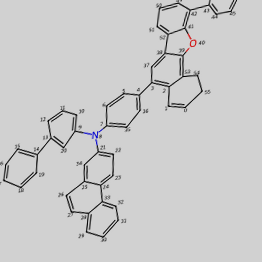 C1=Cc2c(-c3ccc(N(c4cccc(-c5ccccc5)c4)c4ccc5c(ccc6ccccc65)c4)cc3)cc3c(oc4c(-c5ccccc5)cccc43)c2CC1